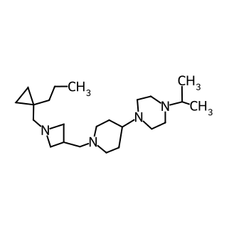 CCCC1(CN2CC(CN3CCC(N4CCN(C(C)C)CC4)CC3)C2)CC1